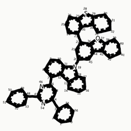 c1ccc(-c2cc(-c3cccc4c3c3ccccc3n4-c3cc(-c4cccc5sc6ccccc6c45)c4oc5ccccc5c4c3)nc(-c3ccccc3)n2)cc1